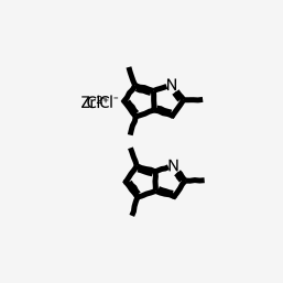 CC1=CC(C)=C2N=C(C)C=C12.CC1=CC(C)=C2N=C(C)C=C12.[Cl-].[Cl-].[Zr+2]